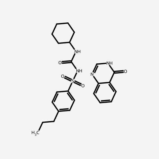 CCCc1ccc(S(=O)(=O)NC(=O)NC2CCCCC2)cc1.O=c1[nH]cnc2ccccc12